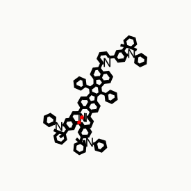 CC12CCCCC1(C)N(c1ccccc1)c1ccc(-c3cccc(-c4ccc5c6c(-c7ccccc7)c7c8ccc(-c9cccc(-c%10ccc%11c(c%10)C%10(C)CCCCC%10(C)N%11c%10ccccc%10)n9)c9c(-c%10cccc(-c%11ccc%12c(c%11)C%11(C)CCCCC%11(C)N%12c%11ccccc%11)n%10)ccc(c7c(-c7ccccc7)c6c6cccc4c65)c98)n3)cc12